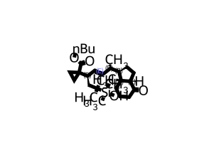 CCCCOC(=O)C1([C@@H](/C=C/[C@@H](C)[C@H]2CC[C@H]3C(=O)CCC[C@]23C)CC(C)(C)[Si](C)(C)O)CC1